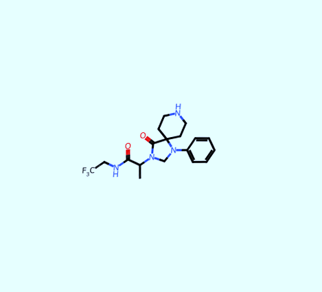 CC(C(=O)NCC(F)(F)F)N1CN(c2ccccc2)C2(CCNCC2)C1=O